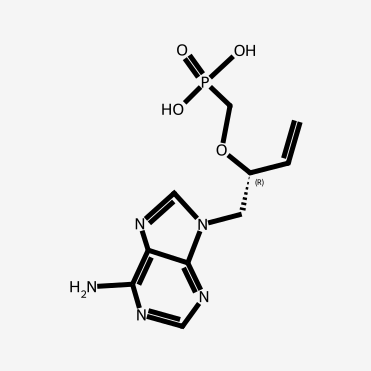 C=C[C@H](Cn1cnc2c(N)ncnc21)OCP(=O)(O)O